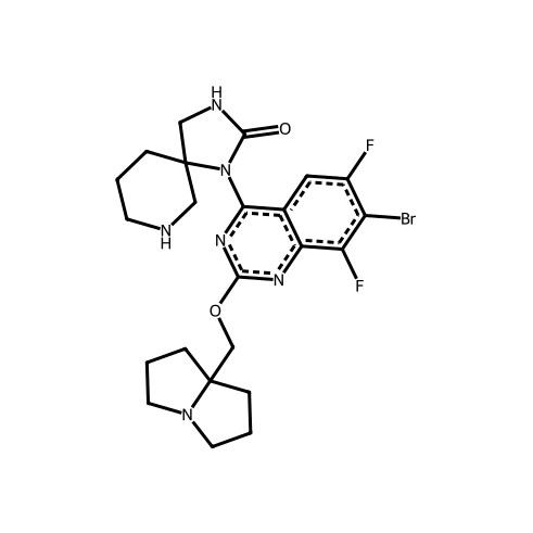 O=C1NCC2(CCCNC2)N1c1nc(OCC23CCCN2CCC3)nc2c(F)c(Br)c(F)cc12